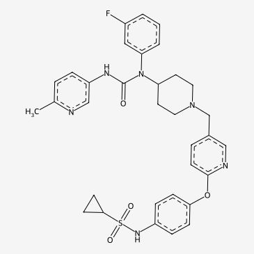 Cc1ccc(NC(=O)N(c2cccc(F)c2)C2CCN(Cc3ccc(Oc4ccc(NS(=O)(=O)C5CC5)cc4)nc3)CC2)cn1